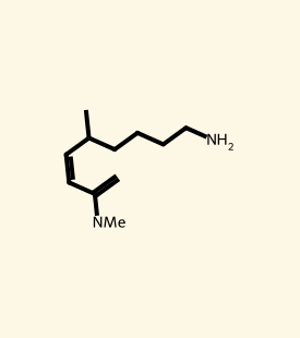 C=C(/C=C\C(C)CCCCN)NC